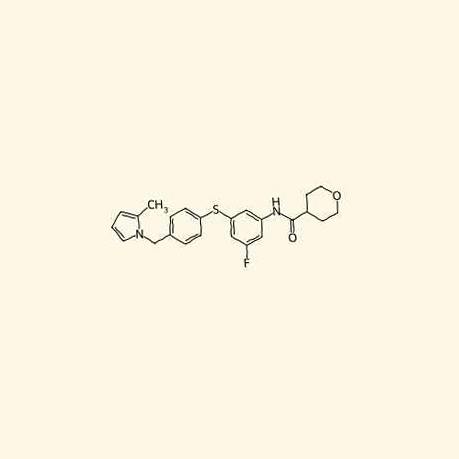 Cc1cccn1Cc1ccc(Sc2cc(F)cc(NC(=O)C3CCOCC3)c2)cc1